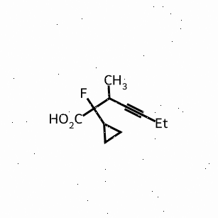 CCC#CC(C)C(F)(C(=O)O)C1CC1